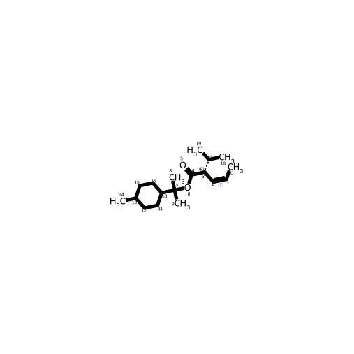 C/C=C\[C@H](C(=O)OC(C)(C)C1CCC(C)CC1)C(C)C